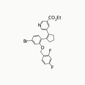 CCOC(=O)c1cncc(C2=C(c3ccc(Br)cc3OCc3ccc(F)cc3F)CCC2)c1